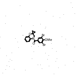 COc1c(Br)cc(C(=O)N2CC3(CC3)Oc3ccccc32)cc1Br